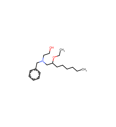 CCCCCCC(CN(CCO)Cc1ccccc1)OCC